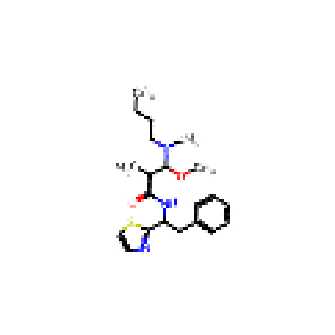 CCCCN(C)C(OC)C(C)C(=O)NC(Cc1ccccc1)c1nccs1